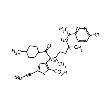 CC1CCC(C(=O)N(c2cc(C#CC(C)(C)C)sc2C(=O)O)[C@H](C)CC[C@@H](C)NN(C)c2ccc(Cl)nn2)CC1